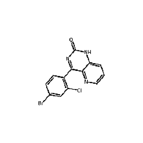 O=c1nc(-c2ccc(Br)cc2Cl)c2ncccc2[nH]1